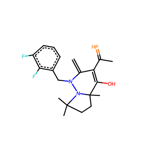 C=C1C(C(C)=P)=C(O)C2(C)CCC(C)(C)N2N1Cc1cccc(F)c1F